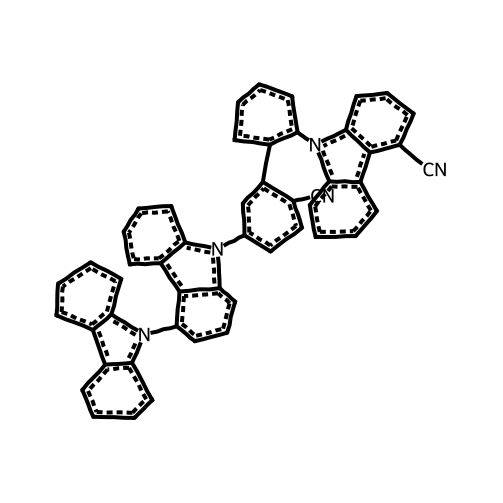 N#Cc1ccc(-n2c3ccccc3c3c(-n4c5ccccc5c5ccccc54)cccc32)cc1-c1ccccc1-n1c2ccccc2c2c(C#N)cccc21